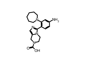 Nc1ccc(-c2ncc3n2CCN(C(=O)O)C3)c(N2CCCCCC2)c1